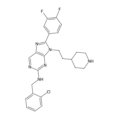 Fc1ccc(-c2nc3cnc(NCc4ccccc4Cl)nc3n2CCC2CCNCC2)cc1F